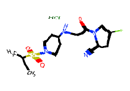 CC(C)S(=O)(=O)N1CCC(NCC(=O)N2C[C@@H](F)CC2C#N)CC1.Cl